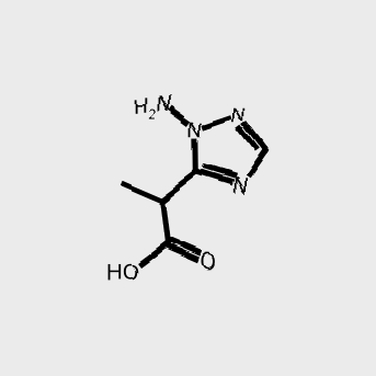 CC(C(=O)O)c1ncnn1N